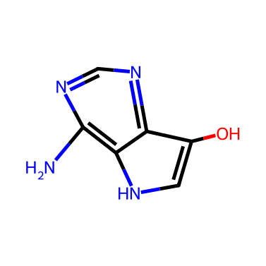 Nc1ncnc2c(O)c[nH]c12